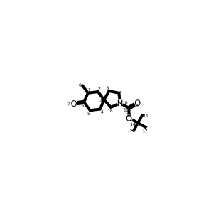 CC1CC2(CCC1=O)CCN(C(=O)OC(C)(C)C)C2